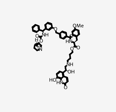 COc1ccc(C[C@H](NC(=O)c2ccc(COc3cccc([C@@H](NC(=O)O[C@H]4CN5CCC4CC5)c4ccccc4)c3)cc2)C(=O)OCCCCNC[C@H](O)c2ccc(O)c3[nH]c(=O)ccc23)cc1